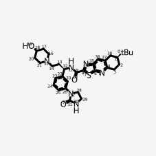 CC(C)(C)[C@H]1CCc2nc3sc(C(=O)N[C@H](CCN4CCC(O)CC4)c4cccc(N5CCNC5=O)c4)nc3cc2C1